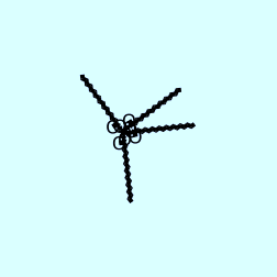 CCCCCCCCCCCCCCCCCC(=O)OCC(COC(=O)CCCCCCCCCCCCCCCCC)(COC(=O)CCCCCCCCCCCCCCCCC)COC(=O)CCCCCCCCCCCCCCCCC